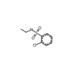 CC[N]S(=O)(=O)c1ccccc1Cl